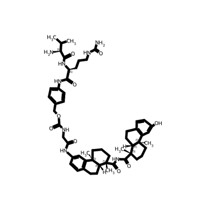 CC(C)[C@H](N)C(=O)N[C@@H](CCCNC(N)=O)C(=O)Nc1ccc(COC(=O)NCC(=O)Nc2ccc3c(c2)[C@@]2(C)CCC[C@](C)(C(=O)NC(=O)[C@@]4(C)CCC[C@]5(C)c6cc(O)ccc6CC[C@@H]45)[C@@H]2CC3)cc1